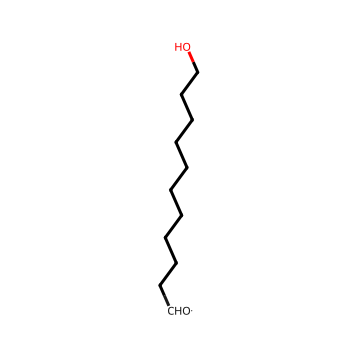 O=[C]CCCCCCCCCCO